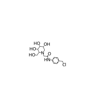 O=C(CN1CC(O)C(O)C(O)C1CO)Nc1ccc(CCl)cc1